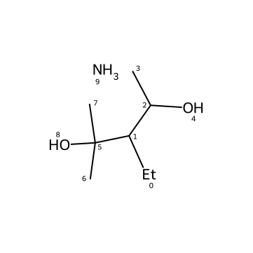 CCC(C(C)O)C(C)(C)O.N